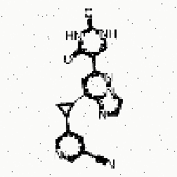 N#Cc1cncc([C@H]2C[C@@H]2c2cc(-c3c[nH]c(=O)[nH]c3=O)nn3ccnc23)c1